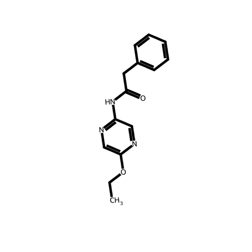 CCOc1cnc(NC(=O)Cc2ccccc2)cn1